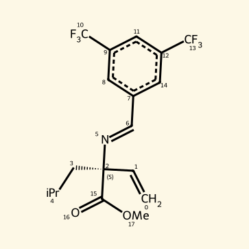 C=C[C@](CC(C)C)(N=Cc1cc(C(F)(F)F)cc(C(F)(F)F)c1)C(=O)OC